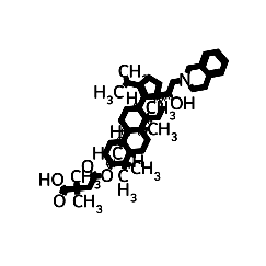 CC(C)C1=C2[C@H]3CC[C@@H]4[C@@]5(C)CC[C@H](OC(=O)CC(C)(C)C(=O)O)C(C)(C)[C@@H]5CC[C@@]4(C)[C@]3(C)CC[C@@]2([C@@H](O)CN2CCc3ccccc3C2)CC1